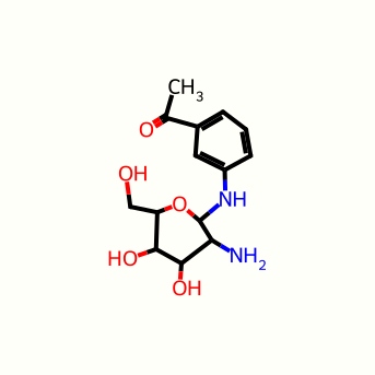 CC(=O)c1cccc(NC2OC(CO)C(O)C(O)C2N)c1